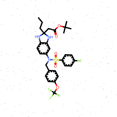 CCCC1(CC(=O)OC(C)(C)C)Nc2ccc(N(Cc3ccc(OC(F)(F)F)cc3)S(=O)(=O)c3ccc(F)cc3)cc2N1